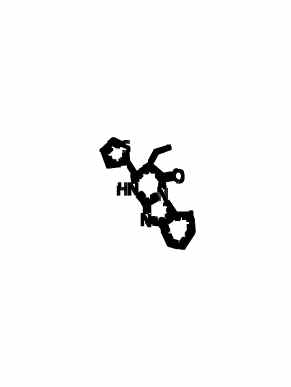 CCc1c(-c2cccs2)[nH]c2nc3ccccc3n2c1=O